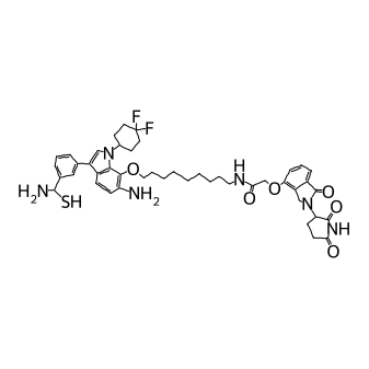 Nc1ccc2c(-c3cccc(C(N)S)c3)cn(C3CCC(F)(F)CC3)c2c1OCCCCCCCCCNC(=O)COc1cccc2c1CN(C1CCC(=O)NC1=O)C2=O